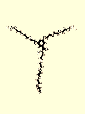 COCCOCCOCCOc1cc(OCCOCCOCCOC)cc(C(=O)NCCOCCOCCOCCN=[N+]=[N-])c1